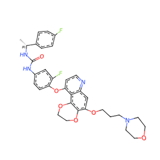 C[C@@H](NC(=O)Nc1ccc(Oc2ccnc3cc(OCCCN4CCOCC4)c4c(c23)OCCO4)c(F)c1)c1ccc(F)cc1